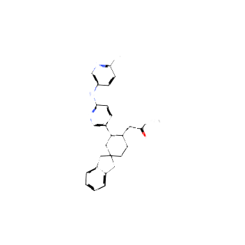 COC(=O)CC1C[CH]C2(Cc3ccccc3C2)CC1c1ccc(Nc2ccc(C(F)(F)F)nc2)nc1